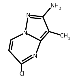 Cc1c(N)nn2ccc(Cl)nc12